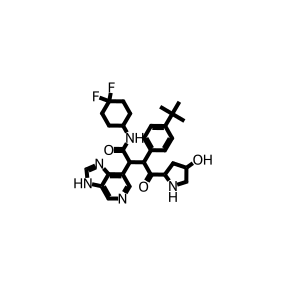 CC(C)(C)c1ccc(C(C(=O)C2CC(O)CN2)C(C(=O)NC2CCC(F)(F)CC2)c2cncc3[nH]cnc23)cc1